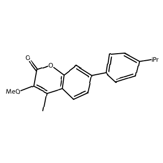 COc1c(C)c2ccc(-c3ccc(C(C)C)cc3)cc2oc1=O